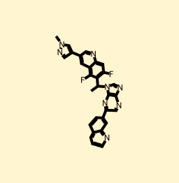 CC(c1c(F)cc2ncc(-c3cnn(C)c3)cc2c1F)n1cnc2ncc(-c3ccc4cccnc4c3)nc21